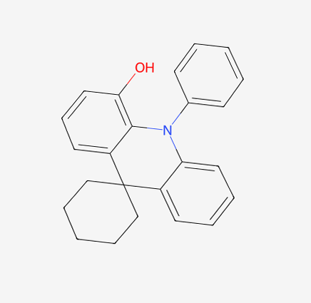 Oc1cccc2c1N(c1ccccc1)c1ccccc1C21CCCCC1